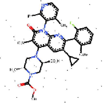 COc1cccc(F)c1-c1nc2c(cc1C1CC1)c(N1C[C@@H](C)N(C(=O)OC(C)(C)C)C[C@@H]1C(=O)O)c([N+](=O)[O-])c(=O)n2-c1c(C)ccnc1C(C)C